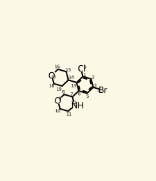 Clc1cc(Br)cc(C2COCCN2)c1C1CCOCC1